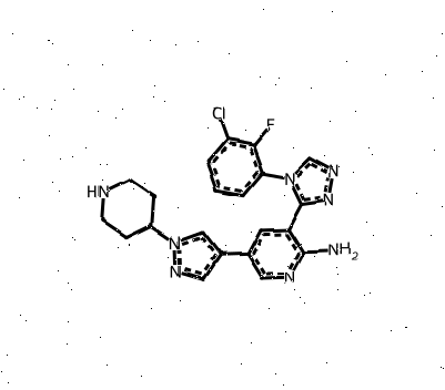 Nc1ncc(-c2cnn(C3CCNCC3)c2)cc1-c1nncn1-c1cccc(Cl)c1F